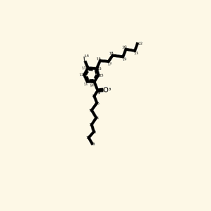 CCCCCCCCC(=O)c1ccc(I)c(CCCCCCC)c1